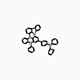 c1ccc(N(c2ccccc2)c2ccc(-c3cc4c5c(c3)-n3c6ccccc6c6cccc(c63)B5c3ccccc3N4c3ccccc3)cc2)cc1